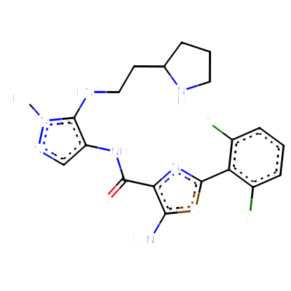 Cn1ncc(NC(=O)c2nc(-c3c(F)cccc3F)sc2N)c1NCCC1CCCN1